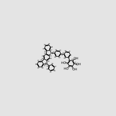 Oc1c(O)c(O)c(-c2cccc(-c3ccc(-n4c5ccccc5c5cc6c7ccccc7n(-c7ccccc7)c6cc54)cc3)c2)c(O)c1O